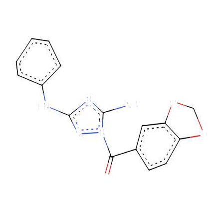 Nc1nc(Nc2ccccc2)nn1C(=O)c1ccc2c(c1)OCO2